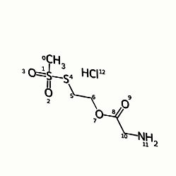 CS(=O)(=O)SCCOC(=O)CN.Cl